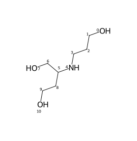 OCCCNC(CO)CCO